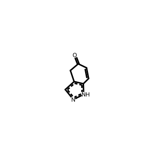 O=C1C=Cc2[nH]ncc2C1